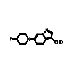 O=Cc1cnn2cc(N3CCC(F)CC3)ccc12